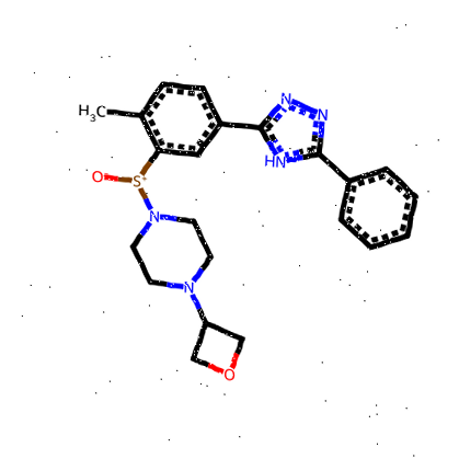 Cc1ccc(-c2nnc(-c3ccccc3)[nH]2)cc1[S+]([O-])N1CCN(C2COC2)CC1